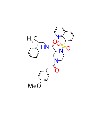 COc1ccc(CC(=O)N2CCN(S(=O)(=O)c3cccc4cccnc34)C(C(=O)NCC(C)c3ccccc3)C2)cc1